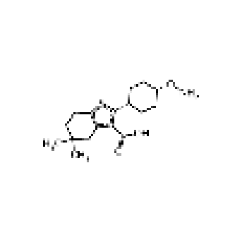 CC1(C)CCc2sc([C@H]3CC[C@@H](ON)CC3)c(C(=O)O)c2C1